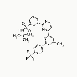 Cc1cc(-c2ccc(C(F)(F)F)cc2)nc(-c2ccnc(-c3cccc(S(=O)(=O)NC(C)(C)C)c3)n2)c1